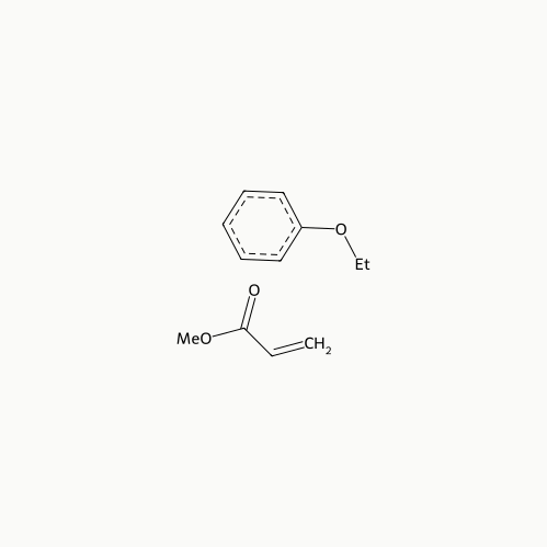 C=CC(=O)OC.[CH2]COc1ccccc1